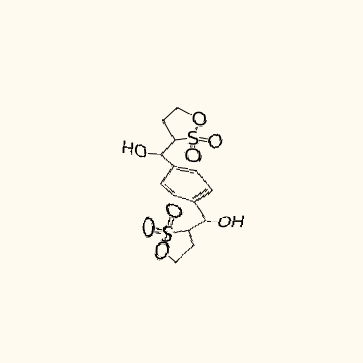 O=S1(=O)OCCC1C(O)c1ccc(C(O)C2CCOS2(=O)=O)cc1